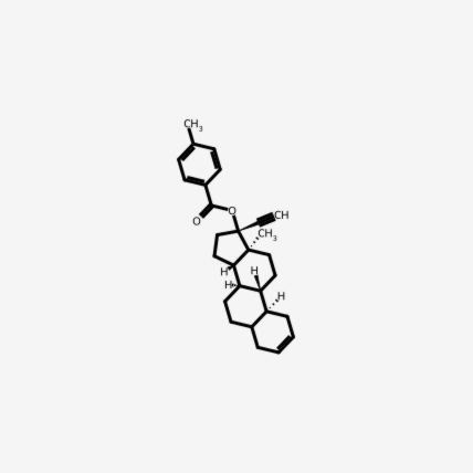 C#C[C@]1(OC(=O)c2ccc(C)cc2)CC[C@H]2[C@@H]3CCC4CC=CC[C@@H]4[C@H]3CC[C@@]21C